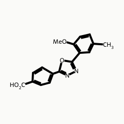 COc1ccc(C)cc1-c1nnc(-c2ccc(C(=O)O)cc2)o1